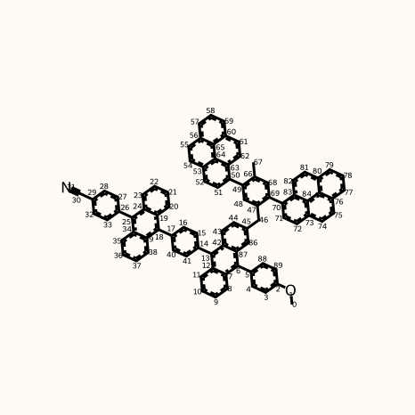 COc1ccc(-c2c3ccccc3c(-c3ccc(-c4c5ccccc5c(-c5ccc(C#N)cc5)c5ccccc45)cc3)c3ccc(Cc4cc(-c5ccc6ccc7cccc8ccc5c6c78)c(C)cc4-c4ccc5ccc6cccc7ccc4c5c67)cc23)cc1